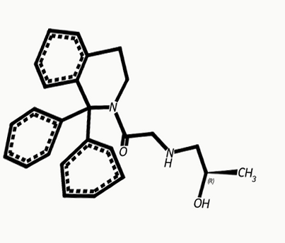 C[C@@H](O)CNCC(=O)N1CCc2ccccc2C1(c1ccccc1)c1ccccc1